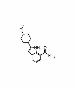 COC1CCC(c2cc3cccc(C(N)=O)c3[nH]2)CC1